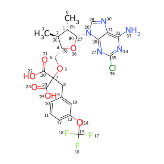 C[C@H]1[C@H](C)[C@@H](COC(Cc2cccc(OC(F)(F)F)c2)(C(=O)O)C(=O)O)O[C@H]1n1cnc2c(N)nc(Cl)nc21